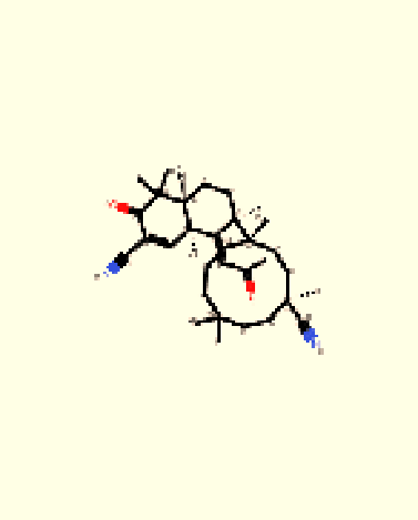 CC(=O)/C=C1/[C@@]2(C)C=C(C#N)C(=O)C(C)(C)[C@@H]2CC[C@@]1(C)[C@@]1(C)CCCC(C)(C)CC[C@](C)(C#N)CC1